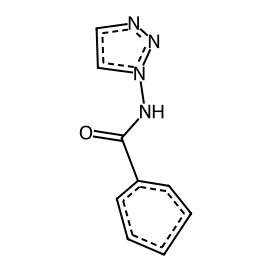 O=C(Nn1ccnn1)c1ccccc1